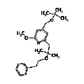 COc1cc(COC(C)(C)C)cc(CC(C)(C)OCCc2ccccc2)n1